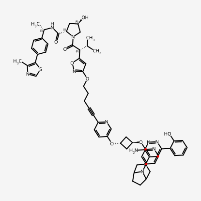 Cc1ncsc1-c1ccc([C@H](C)NC(=O)[C@@H]2C[C@@H](O)CN2C(=O)[C@@H](c2cc(OCCCC#Cc3ccc(O[C@H]4C[C@H](Oc5cc(N6C7CCC6CN(c6cc(-c8ccccc8O)nnc6N)C7)ccn5)C4)cn3)no2)C(C)C)cc1